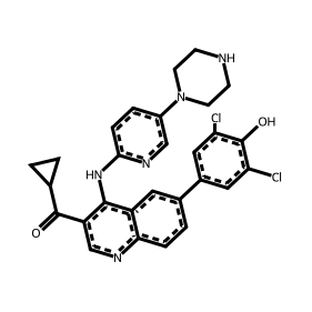 O=C(c1cnc2ccc(-c3cc(Cl)c(O)c(Cl)c3)cc2c1Nc1ccc(N2CCNCC2)cn1)C1CC1